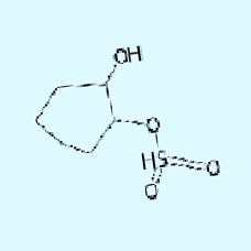 O=[SH](=O)OC1CCCCC1O